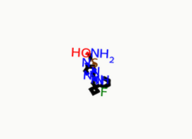 NC(O)c1nc2cnc(NCC3(c4ncccc4F)CCC3)nc2s1